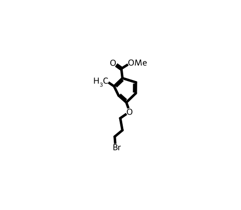 COC(=O)c1ccc(OCCCBr)cc1C